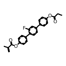 C=C(C)C(=O)Oc1ccc(-c2ccc(-c3ccc(OC(=O)CC)cc3)cc2F)cc1